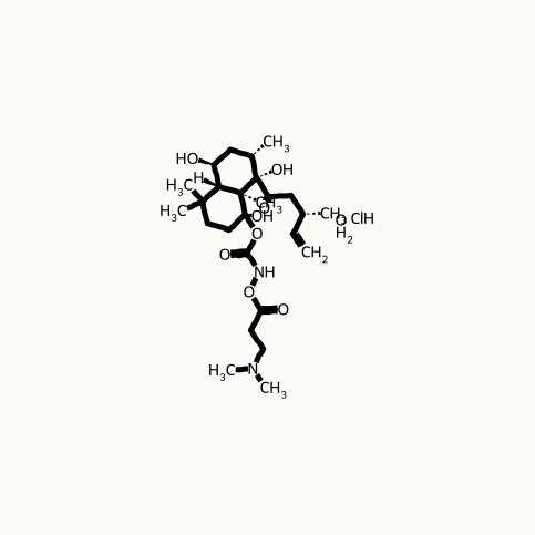 C=C[C@@H](C)CC(=O)[C@]1(O)[C@@H](C)C[C@H](O)[C@H]2C(C)(C)CC[C@](O)(OC(=O)NOC(=O)CCN(C)C)[C@@]21C.Cl.O